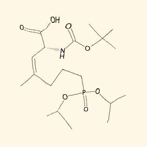 CC(=C[C@@H](NC(=O)OC(C)(C)C)C(=O)O)CCCP(=O)(OC(C)C)OC(C)C